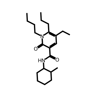 CCCCn1c(CCC)c(CC)cc(C(=O)NC2CCCCC2C)c1=O